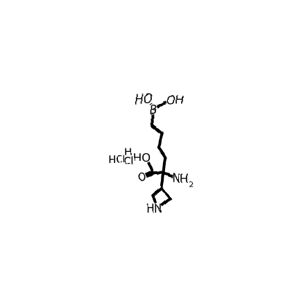 Cl.Cl.NC(CCCCB(O)O)(C(=O)O)C1CNC1